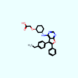 CCc1ccc(-c2c(-c3ccccc3)oc3ncnc(N[C@H]4CCC[C@H](OCC(=O)O)C4)c23)cc1